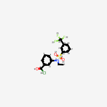 CCN(c1cccc(C(=O)Cl)c1)S(=O)(=O)c1cccc(C(F)(F)F)c1